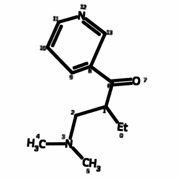 CCC(CN(C)C)C(=O)c1cccnc1